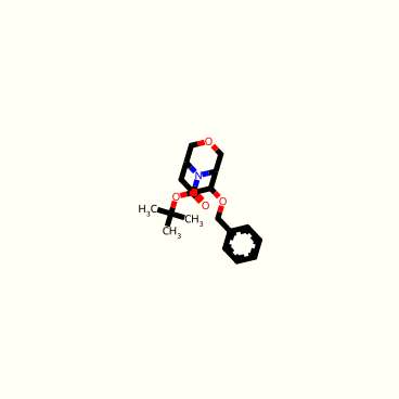 CC(C)(C)OC(=O)N1C2CCC(OCc3ccccc3)C1COC2